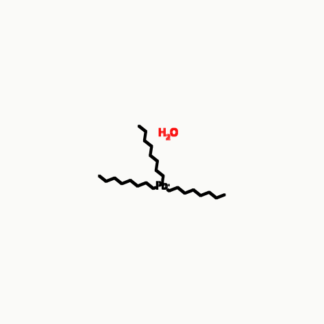 CCCCCCC[CH2][Pb]([CH2]CCCCCCC)[CH2]CCCCCCC.O